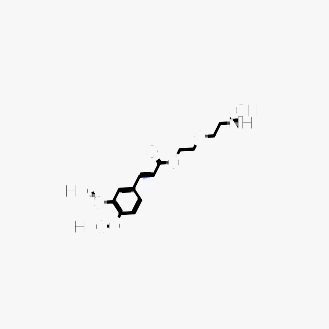 CNCCOCCOC(=O)/C=C/c1ccc(OC)c(OC)c1